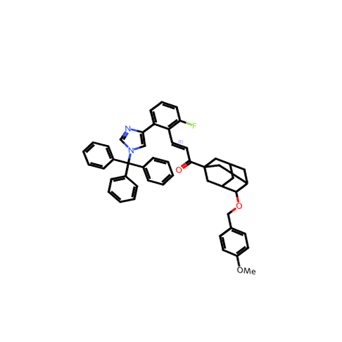 COc1ccc(COC2C3CC4CC2CC(C(=O)/C=C/c2c(F)cccc2-c2cn(C(c5ccccc5)(c5ccccc5)c5ccccc5)cn2)(C4)C3)cc1